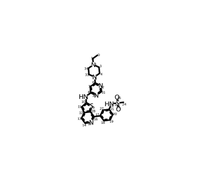 CCN1CCN(c2cc(Nc3cc4ccnc(-c5cccc(NS(C)(=O)=O)c5)c4s3)ncn2)CC1